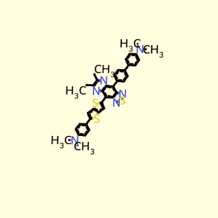 CCc1nc2c(-c3ccc(-c4ccc(N(C)C)cc4)cc3)c3nsnc3c(-c3cc4sc(-c5ccc(N(C)C)cc5)cc4s3)c2nc1CC